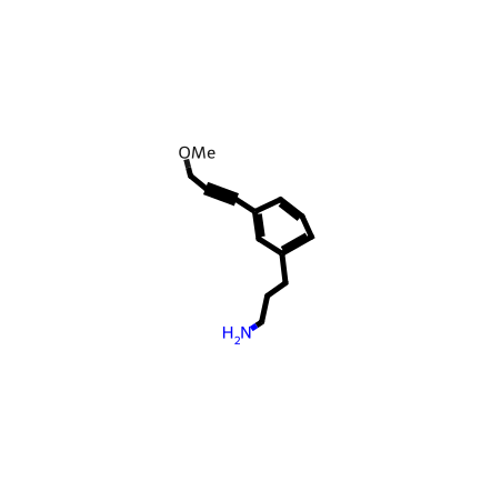 COCC#Cc1cccc(CCCN)c1